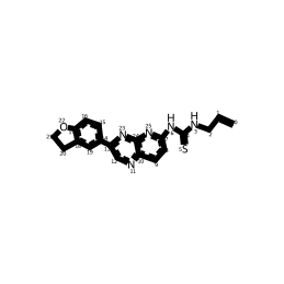 C=CCNC(=S)Nc1ccc2ncc(-c3ccc4c(c3)CCO4)nc2n1